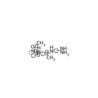 CCOC(=O)CN1CCCc2cccc(S(=O)(=O)Nc3ccc4c(C)c(CNc5ccc(C(=N)N)cc5)oc4c3)c21